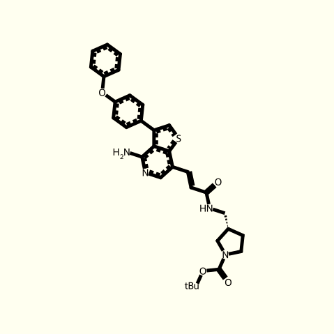 CC(C)(C)OC(=O)N1CC[C@@H](CNC(=O)/C=C/c2cnc(N)c3c(-c4ccc(Oc5ccccc5)cc4)csc23)C1